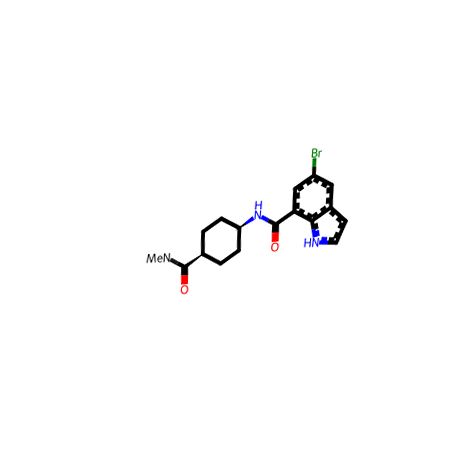 CNC(=O)[C@H]1CC[C@@H](NC(=O)c2cc(Br)cc3cc[nH]c23)CC1